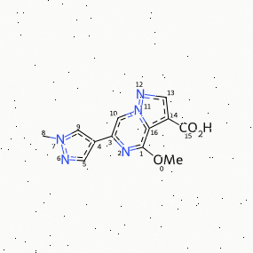 COc1nc(-c2cnn(C)c2)cn2ncc(C(=O)O)c12